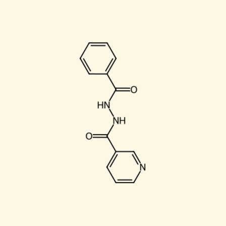 O=C(NNC(=O)c1cccnc1)c1ccccc1